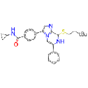 CC(C)(C)CCSC1NC(c2ccccc2)=Cn2c(-c3ccc(C(=O)NC4CC4)cc3)cnc21